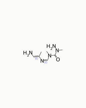 CC(=C\N)/N=C\N(C)C(=O)N(C)N